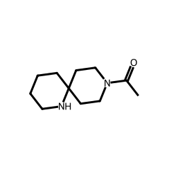 CC(=O)N1CCC2(CCCCN2)CC1